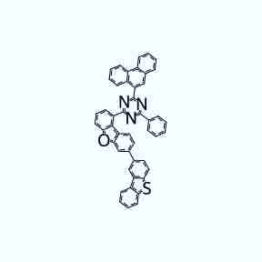 c1ccc(-c2nc(-c3cc4ccccc4c4ccccc34)nc(-c3cccc4oc5cc(-c6ccc7sc8ccccc8c7c6)ccc5c34)n2)cc1